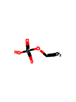 C=CO[Se](=O)(=O)O